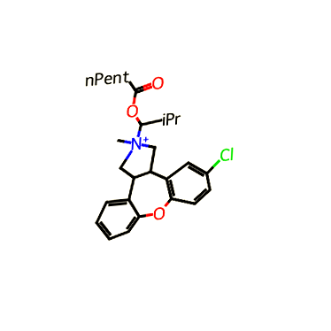 CCCCCC(=O)OC(C(C)C)[N+]1(C)CC2c3ccccc3Oc3ccc(Cl)cc3C2C1